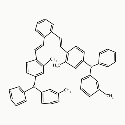 Cc1cccc(N(c2ccccc2)c2ccc(C=Cc3ccccc3C=Cc3ccc(N(c4ccccc4)c4cccc(C)c4)cc3C)c(C)c2)c1